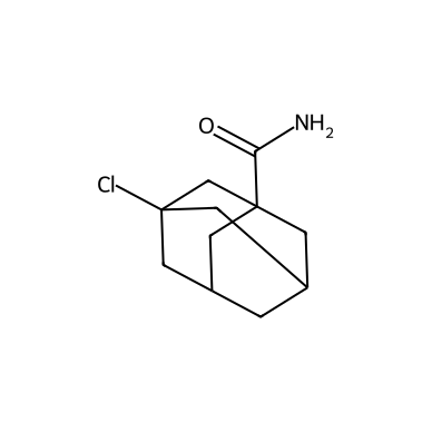 NC(=O)C12CC3CC(CC(Cl)(C3)C1)C2